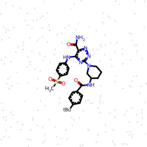 CC(C)(C)c1ccc(C(=O)NC2CCCN(c3nnc(C(N)=O)c(Nc4ccc(S(C)(=O)=O)cc4)n3)C2)cc1